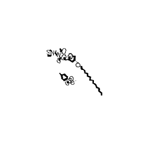 CCCCCCCCCCCCCCCCOC[C@H]1CO[C@H](COC(=O)N(CC[n+]2ccsc2)C(C)=O)C1.Cc1ccc(S(=O)(=O)[O-])cc1